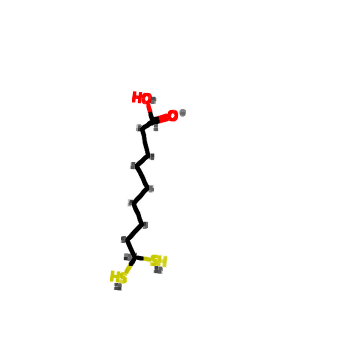 O=C(O)CCCCCCC[C](S)S